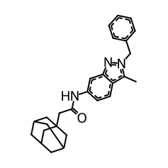 Cc1c2ccc(NC(=O)CC34CC5CC(CC(C5)C3)C4)cc2nn1Cc1ccccc1